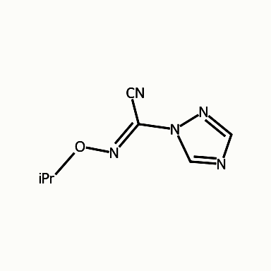 CC(C)ON=C(C#N)n1cncn1